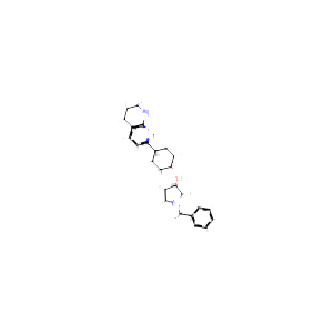 O=C(O)C(c1ccccc1)N1CC[C@@H](OC2CCC(c3ccc4c(n3)NCCC4)CC2)C1